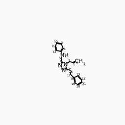 C=CCn1c(CNc2ccccc2)nnc1SCc1ccccc1